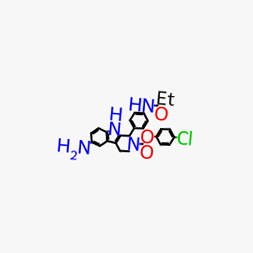 CCC(=O)Nc1ccc(C2c3[nH]c4ccc(N)cc4c3CCN2C(=O)Oc2ccc(Cl)cc2)cc1